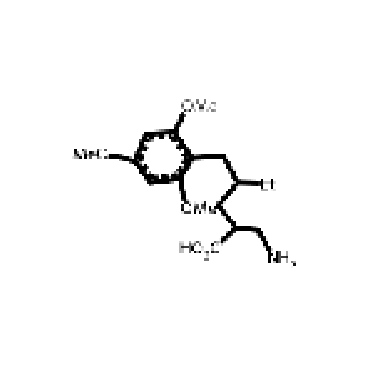 CCC(Cc1c(OC)cc(OC)cc1OC)CC(CN)C(=O)O